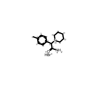 Br.Cc1ccc(C(C(N)=O)N2CCCCC2)cc1